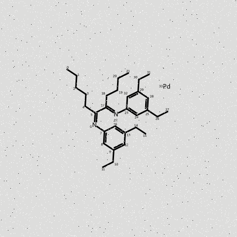 CCCCCC(=Nc1cc(CC)cc(CC)c1)C(CCCC)=Nc1cc(CC)cc(CC)c1.[Pd]